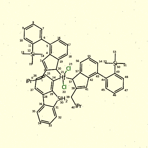 CC(C)CC1=Cc2c(-c3ccccc3[Si](C)(C)C)cccc2[CH]1[Hf]([Cl])([Cl])([c]1cccc2c1[SiH2]c1ccccc1-2)[CH]1C(CC(C)C)=Cc2c(-c3ccccc3[Si](C)(C)C)cccc21